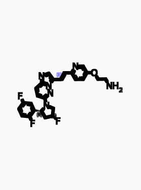 NCCOc1ccc(/C=C/c2cnc3ccc(N4C[C@@H](F)C[C@@H]4c4cc(F)ccc4F)nn23)nc1